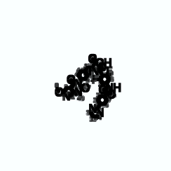 COc1cc2c(=O)n(-c3ccc(C[C@H](NC(=O)c4c(F)cc(NS(=O)(=O)c5ccc(-c6ncccn6)cc5)cc4F)C(=O)O)cc3)c(=O)n(C)c2cn1